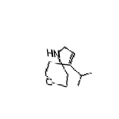 CC(C)C1=CCNC12CCOCC2